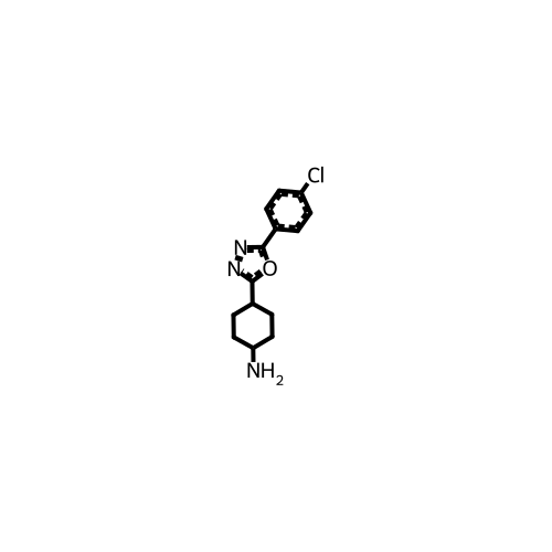 NC1CCC(c2nnc(-c3ccc(Cl)cc3)o2)CC1